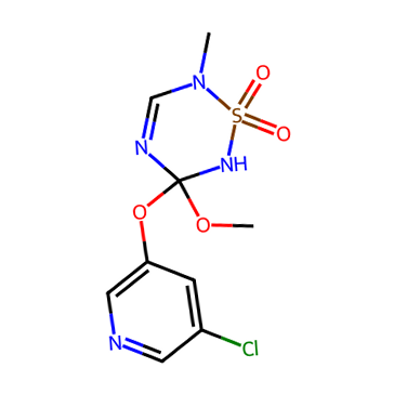 COC1(Oc2cncc(Cl)c2)N=CN(C)S(=O)(=O)N1